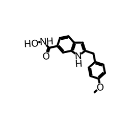 COc1ccc(Cc2cc3ccc(C(=O)NO)cc3[nH]2)cc1